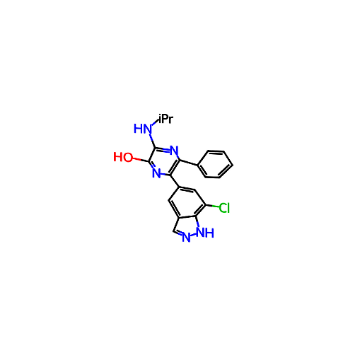 CC(C)Nc1nc(-c2ccccc2)c(-c2cc(Cl)c3[nH]ncc3c2)nc1O